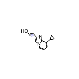 O/N=C/c1cn2cccc(C3CC3)c2n1